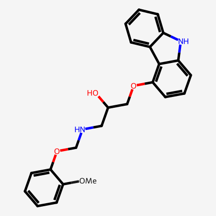 COc1ccccc1OCNCC(O)COc1cccc2[nH]c3ccccc3c12